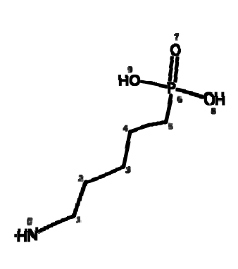 [NH]CCCCCP(=O)(O)O